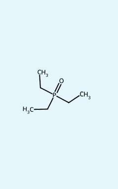 CCP(=O)(CC)CC